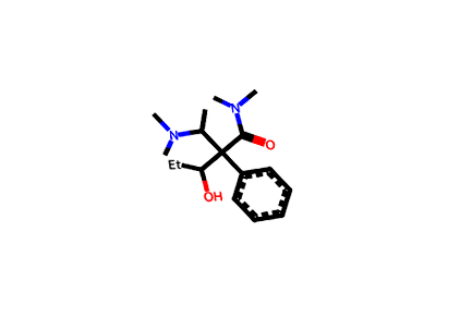 CCC(O)C(C(=O)N(C)C)(c1ccccc1)C(C)N(C)C